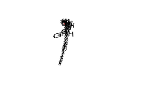 CCCCCCCCCCCCCCCCCCNC(=O)OCC(CNC(=O)N(C(C)=O)C(C)[N+](C)(C)C)OC.[Cl-]